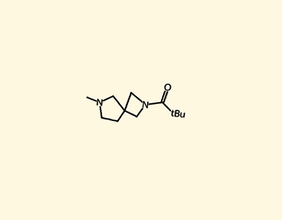 CN1CCC2(C1)CN(C(=O)C(C)(C)C)C2